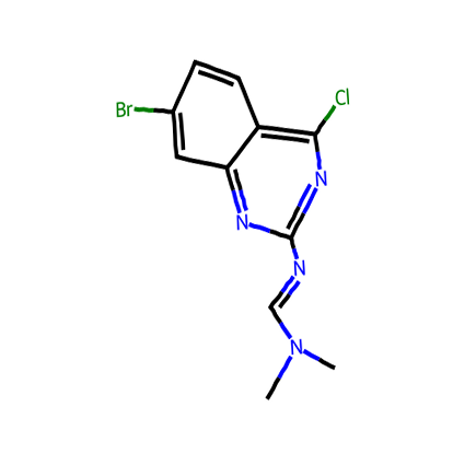 CN(C)C=Nc1nc(Cl)c2ccc(Br)cc2n1